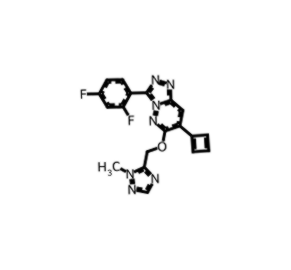 Cn1ncnc1COc1nn2c(-c3ccc(F)cc3F)nnc2cc1C1=CC=C1